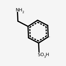 NCc1cc[c]c(S(=O)(=O)O)c1